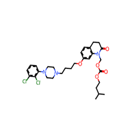 CC(C)CCOC(=O)OCN1C(=O)CCc2ccc(OCCCCN3CCN(c4cccc(Cl)c4Cl)CC3)cc21